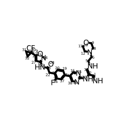 N=C/C(=C\NCCN1CCOCC1)Nc1ncc(-c2ccc(CC(=O)Nc3cc(C4(C(F)(F)F)CC4)on3)c(F)c2)cn1